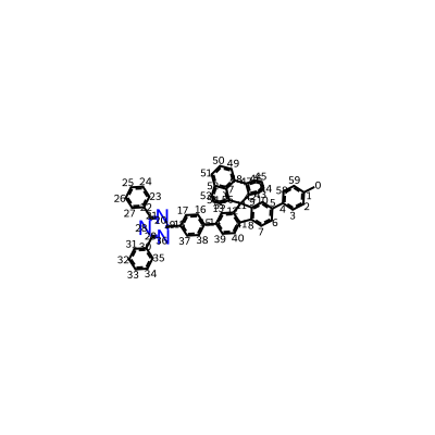 Cc1ccc(-c2ccc3c(c2)C2(c4cc(-c5ccc(-c6nc(-c7ccccc7)nc(-c7ccccc7)n6)cc5)ccc4-3)c3ccccc3-c3cccc4cccc2c34)cc1